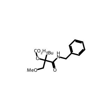 COCC(OC(=O)O)(C(=O)NCc1ccccc1)C(C)(C)C